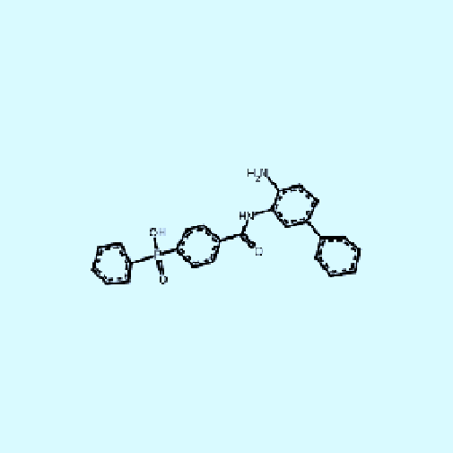 Nc1ccc(-c2ccccc2)cc1NC(=O)c1ccc(P(=O)(O)c2ccccc2)cc1